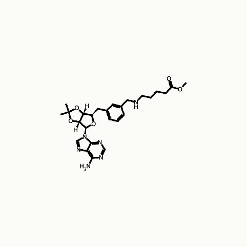 COC(=O)CCCCNCc1cccc(C[C@H]2O[C@@H](n3cnc4c(N)ncnc43)[C@@H]3OC(C)(C)O[C@@H]32)c1